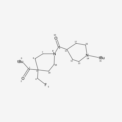 CC(C)(C)C(=O)C1(CF)CCN(C(=O)C2CCN(C(C)(C)C)CC2)CC1